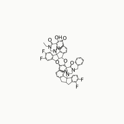 CCN1CN(C23c4cc(F)c(F)cc4CC2C(Oc2c4n(ccc2=O)N(C25c6ccccc6CC2Cc2c5ccc(F)c2F)CN(Cc2ccccc2)C4=O)c2ccccc23)n2ccc(=O)c(O)c2C1=O